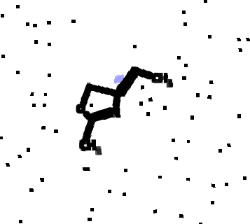 C/C=C1/COC(C)=N1